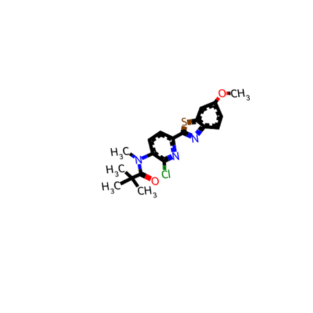 COc1ccc2nc(-c3ccc(N(C)C(=O)C(C)(C)C)c(Cl)n3)sc2c1